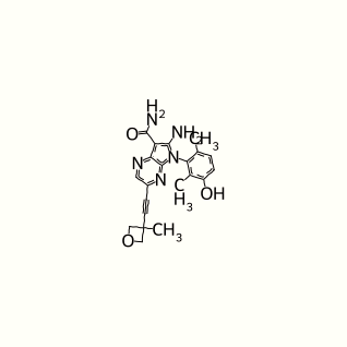 Cc1ccc(O)c(C)c1-n1c(N)c(C(N)=O)c2ncc(C#CC3(C)COC3)nc21